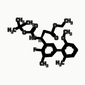 CCOC(=O)C[C@H](NC(=O)OC(C)(C)C)c1cc(-c2c(C)cccc2OC)cc(C)c1F